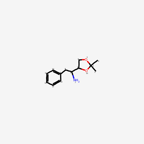 CC1(C)OCC(C(N)Cc2ccccc2)O1